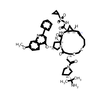 COc1ccc2c(O[C@@H]3C[C@H]4C(=O)N[C@]5(C(=O)NS(=O)(=O)C6CC6)C[C@H]5/C=C\CCCCC[C@H](CC(=O)N5CC[C@@H](C(C)(C)N)C5)C(=O)N4C3)cc(-c3ccccc3)nc2c1